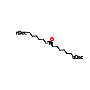 CCCCCCCCCCCCCCCC[Te](=O)CCCCCCCCCCCCCCCC